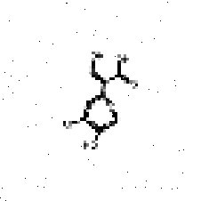 O=C(O)C(=NO)c1ccc(O)c(Cl)c1